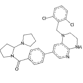 O=C(c1ccc(-c2cnc3c(c2)N(Cc2c(Cl)cccc2Cl)CCN3)cc1)N1CCCC1N1CCCC1